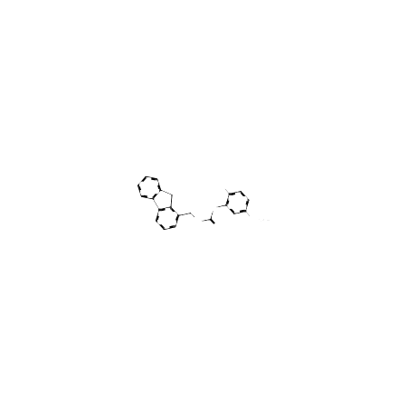 [CH2]c1ccc(OC)cc1OC(=O)OCc1cccc2c1Cc1ccccc1-2